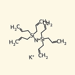 C=CC[Si](CC=C)(CC=C)[N-][Si](CC=C)(CC=C)CC=C.[K+]